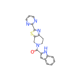 O=C(c1cc2ccccc2[nH]1)N1CCc2nc(-c3ncccn3)sc2C1